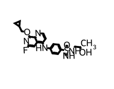 C[C@@H](O)CN[S@@](=N)(=O)c1ccc(Nc2ccnc3c(OCC4CC4)nc(F)cc23)cc1